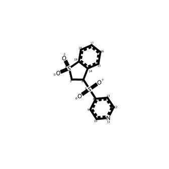 O=S1(=O)CC(S(=O)(=O)c2ccncc2)c2ccccc21